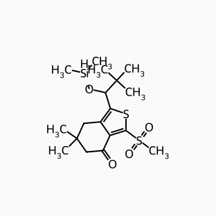 C[SiH](C)OC(c1sc(S(C)(=O)=O)c2c1CC(C)(C)CC2=O)C(C)(C)C